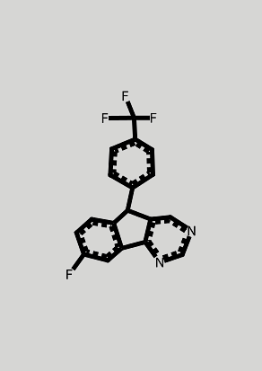 Fc1ccc2c(c1)-c1ncncc1C2c1ccc(C(F)(F)F)cc1